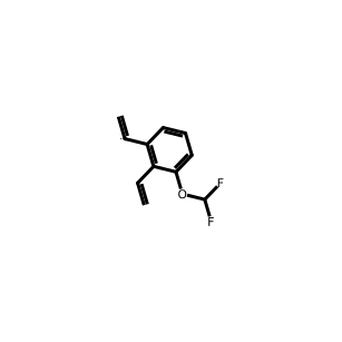 C=[C]c1cccc(OC(F)F)c1C=C